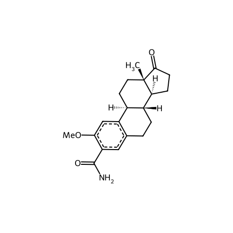 COc1cc2c(cc1C(N)=O)CC[C@@H]1[C@@H]2CC[C@]2(C)C(=O)CC[C@@H]12